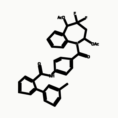 CC(=O)OC1CC(F)(F)C(OC(C)=O)c2ccccc2N1C(=O)c1ccc(NC(=O)c2ccccc2-c2cccc(C)c2)cc1